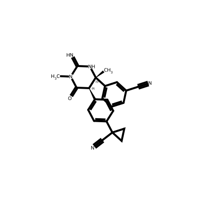 CN1C(=N)N[C@](C)(c2cccc(C#N)c2)[C@@H](c2ccc(C3(C#N)CC3)cc2)C1=O